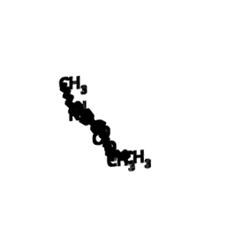 CCCCCCc1cnc(-c2ccc(-c3ccc(OC(=O)CCOC[C@H](C)CCCC)cc3)cc2)nc1